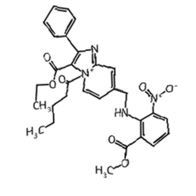 CCCCC(=O)[N+]12C=CC(CNc3c(C(=O)OC)cccc3[N+](=O)[O-])=CC1=NC(c1ccccc1)=C2C(=O)OCC